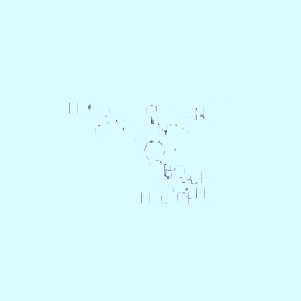 COC(=O)N1CCC2(CC1)C(=O)N(C1CC(N3CCCCC3)C1)c1cc(B3OC(C)(C)C(C)(C)O3)ccc12